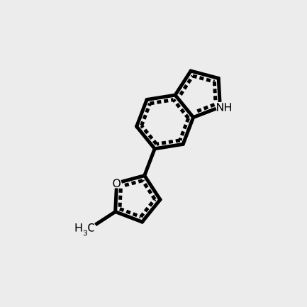 Cc1ccc(-c2ccc3cc[nH]c3c2)o1